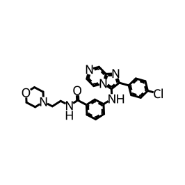 O=C(NCCN1CCOCC1)c1cccc(Nc2c(-c3ccc(Cl)cc3)nc3cnccn23)c1